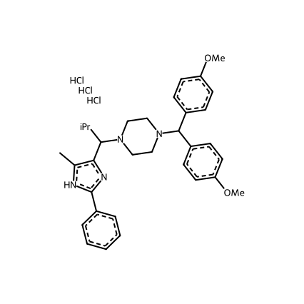 COc1ccc(C(c2ccc(OC)cc2)N2CCN(C(c3nc(-c4ccccc4)[nH]c3C)C(C)C)CC2)cc1.Cl.Cl.Cl